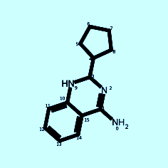 NC1=NC(C2CCCC2)Nc2ccccc21